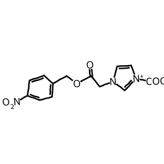 O=C(Cn1cc[n+](C(=O)[O-])c1)OCc1ccc([N+](=O)[O-])cc1